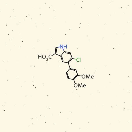 COc1ccc(-c2cc3c(C(=O)O)c[nH]c3cc2Cl)cc1OC